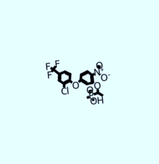 CC(Oc1cc(Oc2ccc(C(F)(F)F)cc2Cl)ccc1[N+](=O)[O-])P(C)(=O)O